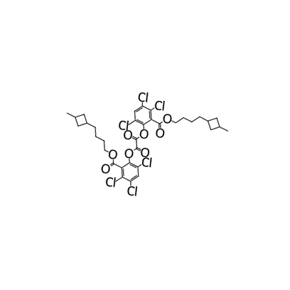 CC1CC(CCCCOC(=O)c2c(Cl)c(Cl)cc(Cl)c2OC(=O)C(=O)Oc2c(Cl)cc(Cl)c(Cl)c2C(=O)OCCCCC2CC(C)C2)C1